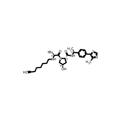 C#CCCCCCCN[C@H](C(=O)N1C[C@H](O)C[C@H]1C(=O)N[C@@H](C)c1ccc(-c2scnc2C)cc1)C(C)(C)C